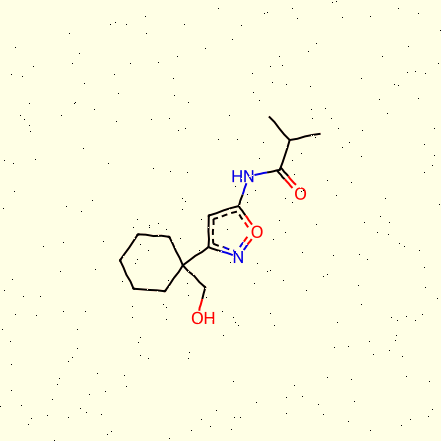 CC(C)C(=O)Nc1cc(C2(CO)CCCCC2)no1